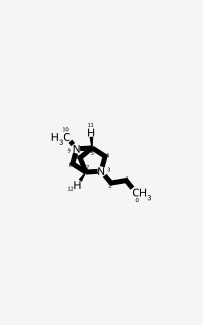 CCCN1C[C@@H]2C[C@H]1CN2C